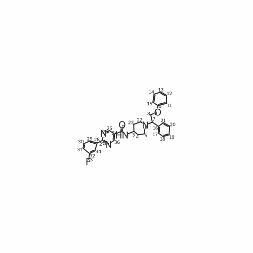 O=C(NC1CCN(C(COc2ccccc2)c2ccccc2)CC1)c1cnc(-c2cccc(F)c2)nc1